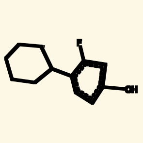 Oc1ccc(C2[CH]CCCC2)c(F)c1